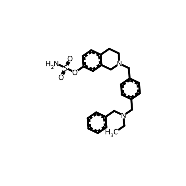 CCN(Cc1ccccc1)Cc1ccc(CN2CCc3ccc(OS(N)(=O)=O)cc3C2)cc1